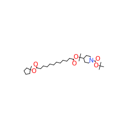 CC(C)(C)OC(=O)N1CCC(C(C)(C)OC(=O)CCCCCCCCCCC(=O)OC2(C)CCCC2)CC1